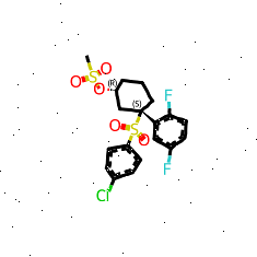 CS(=O)(=O)O[C@@H]1CCC[C@](c2cc(F)ccc2F)(S(=O)(=O)c2ccc(Cl)cc2)C1